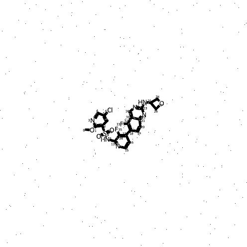 COc1ncc(Cl)cc1S(=O)(=O)Nc1nccc(-c2ccc3nc(NC4COC4)ncc3c2F)c1F